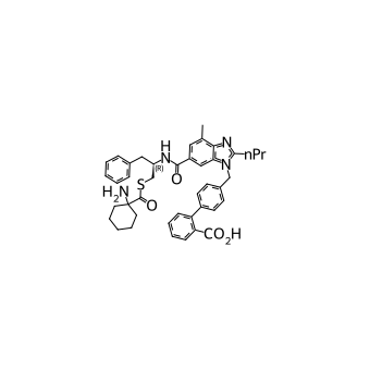 CCCc1nc2c(C)cc(C(=O)N[C@@H](CSC(=O)C3(N)CCCCC3)Cc3ccccc3)cc2n1Cc1ccc(-c2ccccc2C(=O)O)cc1